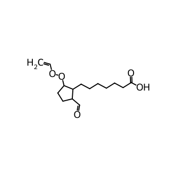 C=COOC1CCC(C=O)C1CCCCCCC(=O)O